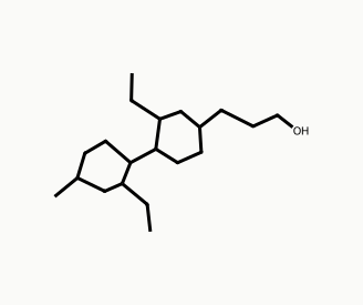 CCC1CC(C)CCC1C1CCC(CCCO)CC1CC